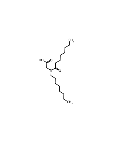 CCCCCCCCN(CC(=O)O)C(=O)CCCCCCC